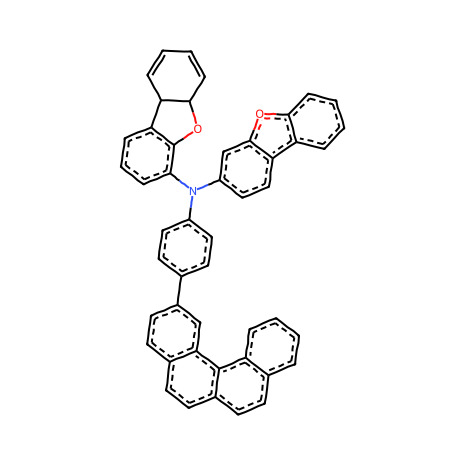 C1=CC2Oc3c(cccc3N(c3ccc(-c4ccc5ccc6ccc7ccccc7c6c5c4)cc3)c3ccc4c(c3)oc3ccccc34)C2C=C1